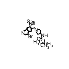 CC(C)(C)OC(=O)NC1CCN(Cc2cc3c(Br)cncc3cc2[N+](=O)[O-])CC1